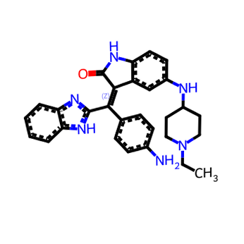 CCN1CCC(Nc2ccc3c(c2)/C(=C(\c2ccc(N)cc2)c2nc4ccccc4[nH]2)C(=O)N3)CC1